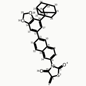 C=C1SC(=O)N(c2ccc3cc(-c4cc5c(c(C67CC8CC(CC(C8)C6)C7)c4)OCO5)ccc3c2)C1=O